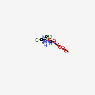 CCCOCCOCCOCCOCCNC(=O)c1ccc(NC(=O)[C@@H]2N[C@@H](CC(C)(C)C)[C@](C#N)(c3ccc(Cl)cc3F)[C@H]2c2cccc(Cl)c2F)c(OC)c1